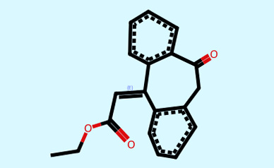 CCOC(=O)/C=C1\c2ccccc2CC(=O)c2ccccc21